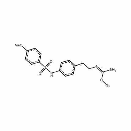 CCO/C(N)=N\CCc1ccc(NS(=O)(=O)c2ccc(OC)cc2)cc1